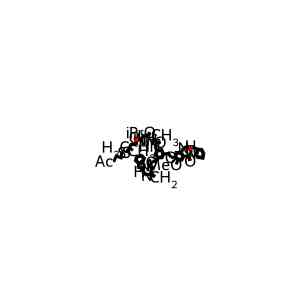 C=C1CC(OCc2cc(COc3cc4c(cc3OC)C(=O)N3c5ccccc5C[C@H]3C=N4)cc(NC(=O)[C@H](C)NC(=O)[C@@H](NC(=O)CCC(C)(C)SSCCCC(C)=O)C(C)C)c2)N2c3ccccc3C[C@H]2C=N1